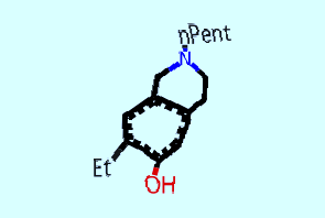 CCCCCN1CCc2cc(O)c(CC)cc2C1